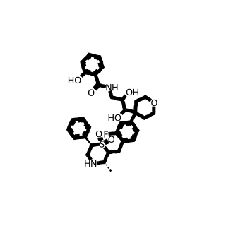 C[C@@H]1NC[C@@H](c2ccccc2)S(=O)(=O)C1Cc1ccc(C2(C(O)C(O)CNC(=O)c3ccccc3O)CCOCC2)cc1F